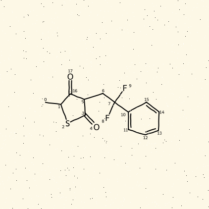 CC1SC(=O)C(CC(F)(F)c2ccccc2)C1=O